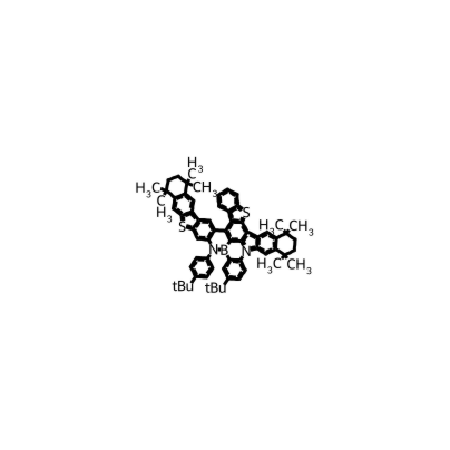 CC(C)(C)c1ccc(N2B3c4cc(C(C)(C)C)ccc4-n4c5cc6c(cc5c5c7sc8ccccc8c7c(c3c54)-c3cc4c(cc32)sc2cc3c(cc24)C(C)(C)CCC3(C)C)C(C)(C)CCC6(C)C)cc1